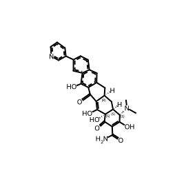 CN(C)[C@@H]1C(O)=C(C(N)=O)C(=O)[C@@]2(O)C(O)=C3C(=O)c4c(cc5ccc(-c6cccnc6)cc5c4O)C[C@H]3C[C@@H]12